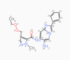 CCOOCc1cnn(C)c1C(=O)Nc1cc2nc(-c3ccccc3)cn2cc1N